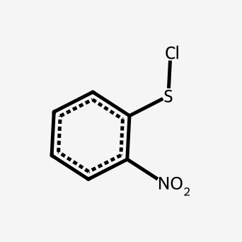 O=[N+]([O-])c1ccccc1SCl